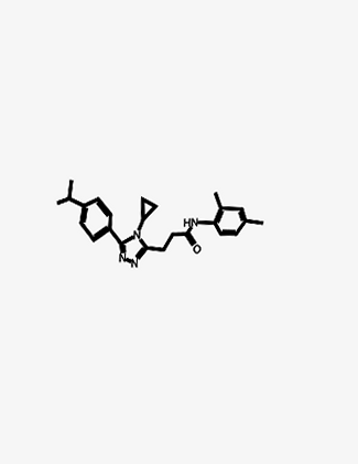 Cc1ccc(NC(=O)CCc2nnc(-c3ccc(C(C)C)cc3)n2C2CC2)c(C)c1